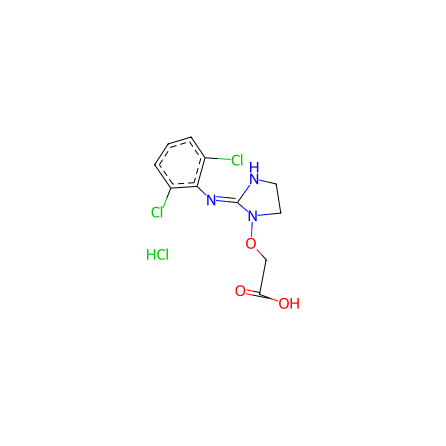 Cl.O=C(O)CON1CCNC1=Nc1c(Cl)cccc1Cl